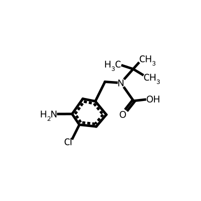 CC(C)(C)N(Cc1ccc(Cl)c(N)c1)C(=O)O